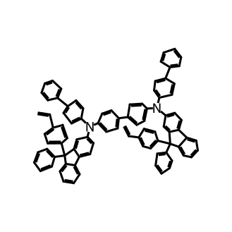 C=Cc1ccc(C2(c3ccccc3)c3ccccc3-c3ccc(N(c4ccc(-c5ccccc5)cc4)c4ccc(-c5ccc(N(c6ccc(-c7ccccc7)cc6)c6ccc7c(c6)C(c6ccccc6)(c6ccc(C=C)cc6)c6ccccc6-7)cc5)cc4)cc32)cc1